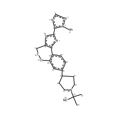 CC(C)n1ncnc1-c1nc2c(s1)CCOc1cc(C3CCN(C(C)(C)C#N)CC3)ccc1-2